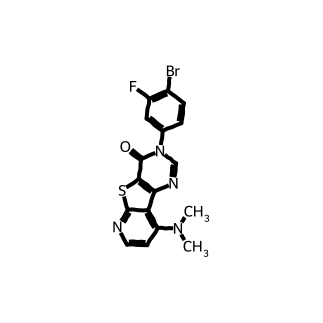 CN(C)c1ccnc2sc3c(=O)n(-c4ccc(Br)c(F)c4)cnc3c12